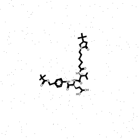 CC(C)[C@H](NC(=O)CCCCCN1CC(C(C)(C)C)CC1=O)C(=O)N[C@@H](CCC(O)O)C(=O)Nc1ccc(COC(=O)C(C)(C)C)cc1